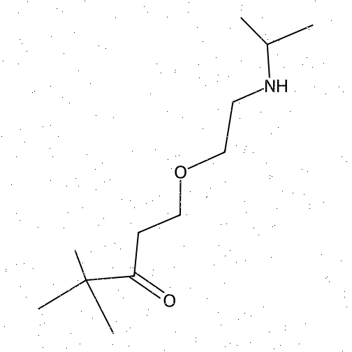 CC(C)NCCOCCC(=O)C(C)(C)C